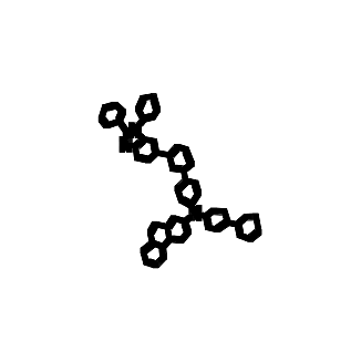 c1ccc(-c2ccc(N(c3ccc(-c4cccc(-c5ccc6nc(-c7ccccc7)n(-c7ccccc7)c6c5)c4)cc3)c3ccc4c(ccc5ccccc54)c3)cc2)cc1